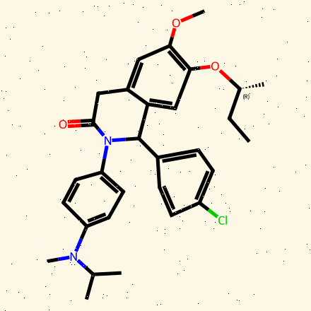 CC[C@@H](C)Oc1cc2c(cc1OC)CC(=O)N(c1ccc(N(C)C(C)C)cc1)C2c1ccc(Cl)cc1